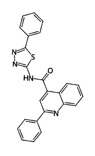 O=C(Nc1nnc(-c2ccccc2)s1)c1cc(-c2ccccc2)nc2ccccc12